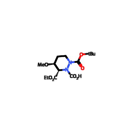 CCOC(=O)[C@@H]1[C@@H](OC)CCN(C(=O)OC(C)(C)C)N1C(=O)O